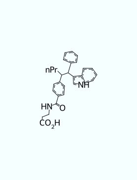 CCCC(c1ccc(C(=O)NCCC(=O)O)cc1)C(c1ccccc1)c1c[nH]c2ccccc12